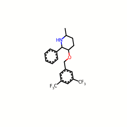 CC1CCC(OCc2cc(C(F)(F)F)cc(C(F)(F)F)c2)C(c2ccccc2)N1